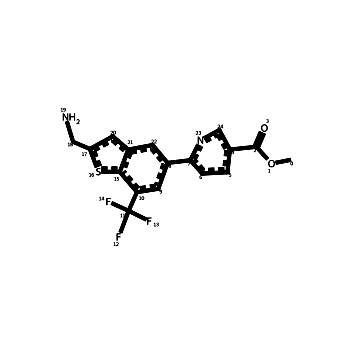 COC(=O)c1ccc(-c2cc(C(F)(F)F)c3sc(CN)cc3c2)nc1